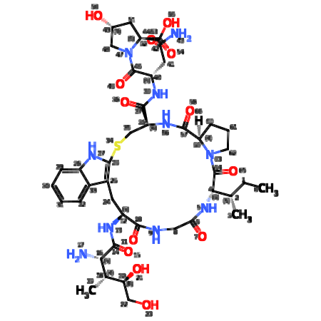 CC[C@H](C)[C@@H]1NC(=O)CNC(=O)[C@@H](NC(=O)[C@@H](N)[C@@H](C)[C@@H](O)CO)Cc2c([nH]c3ccccc23)SC[C@@H](C(=O)N[C@@H](CC(N)=O)C(=O)N2C[C@H](O)C[C@H]2C(=O)O)NC(=O)[C@H]2CCCN2C1=O